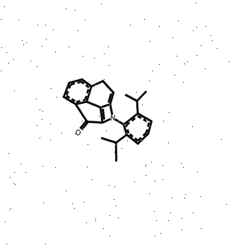 CC(C)c1cccc(C(C)C)c1N1C2=CCc3cccc4c3C2=C1C4=O